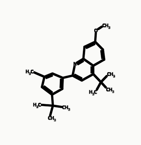 COc1ccc2c(C(C)(C)C)cc(-c3cc(C)cc(C(C)(C)C)c3)nc2c1